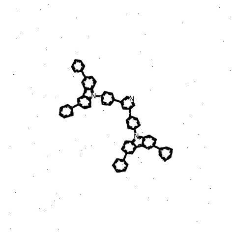 c1ccc(-c2ccc3c(c2)c2cc(-c4ccccc4)ccc2n3-c2ccc(-c3cncc(-c4ccc(-n5c6ccc(-c7ccccc7)cc6c6cc(-c7ccccc7)ccc65)cc4)c3)cc2)cc1